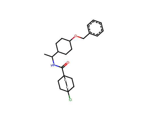 CC(NC(=O)C12CCC(Cl)(CC1)CC2)C1CCC(OCc2ccccc2)CC1